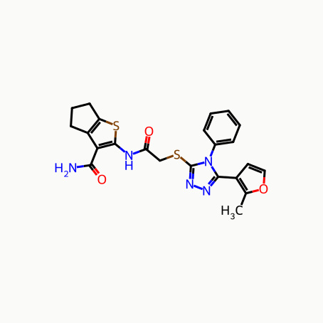 Cc1occc1-c1nnc(SCC(=O)Nc2sc3c(c2C(N)=O)CCC3)n1-c1ccccc1